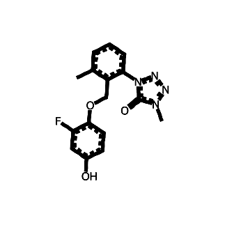 Cc1cccc(-n2nnn(C)c2=O)c1COc1ccc(O)cc1F